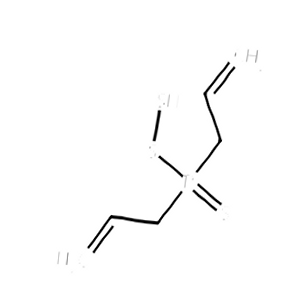 C=CCP(=S)(CC=C)SS